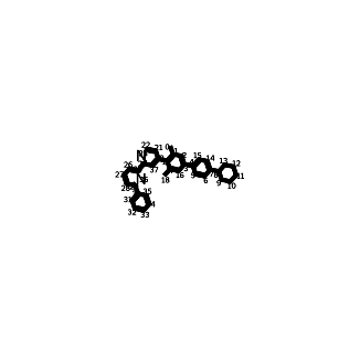 Cc1cc(-c2ccc(C3CCCCC3)cc2)cc(C)c1-c1ccnc(-c2cccc(-c3ccccc3)n2)c1